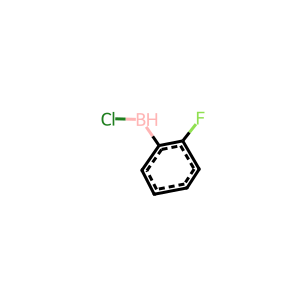 Fc1ccccc1BCl